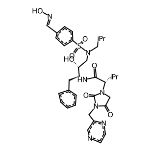 CC(C)CN(C[C@@H](O)[C@H](Cc1ccccc1)NC(=O)[C@H](C(C)C)N1CC(=O)N(Cc2cnccn2)C1=O)S(=O)(=O)c1ccc(/C=N/O)cc1